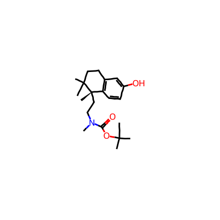 CN(CC[C@@]1(C)c2ccc(O)cc2CCC1(C)C)C(=O)OC(C)(C)C